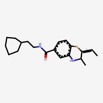 C/C=C1/Sc2ccc(C(=O)NCCC3CCCCC3)cc2NC1C